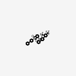 O=C1c2cccc(-n3c4ccccc4c4ccc(-c5ccc(C(F)(F)F)cc5C(F)(F)F)cc43)c2C(=O)N1c1ccc(-c2ccccc2)cc1